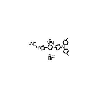 Cc1ccc(N(c2ccc(C)cc2)c2ccc(-c3ccc(-c4cc[n+](CCC[N+](C)(C)C)cc4)c4nsnc34)cc2)cc1.[Br-].[Br-]